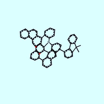 Cc1cc(N(c2ccccc2-c2cccc3c2ccc2ccccc23)c2ccccc2-c2cccc3cccc(-c4ccccc4)c23)ccc1-c1cccc2c1-c1ccccc1C2(C)C